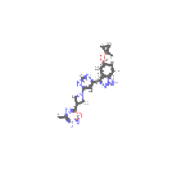 C=C(C)/N=C(\ON)C1CN(c2cc(-c3n[nH]c4ccc(OC5(C)CC5)cc34)ncn2)C1